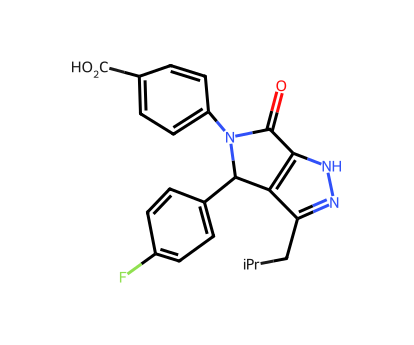 CC(C)Cc1n[nH]c2c1C(c1ccc(F)cc1)N(c1ccc(C(=O)O)cc1)C2=O